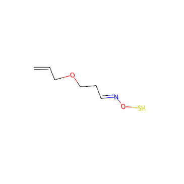 C=CCOCCC=NOS